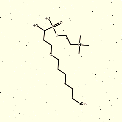 CCCCCCCCCCCCCCCCOCCC(O)P(=O)(O)OCC[N+](C)(C)C